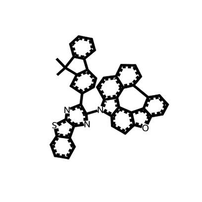 CC1(C)c2ccccc2-c2ccc(-c3nc4sc5ccccc5c4nc3-n3c4ccc5cccc6c5c4c4c5c(ccc43)oc3cccc-6c35)cc21